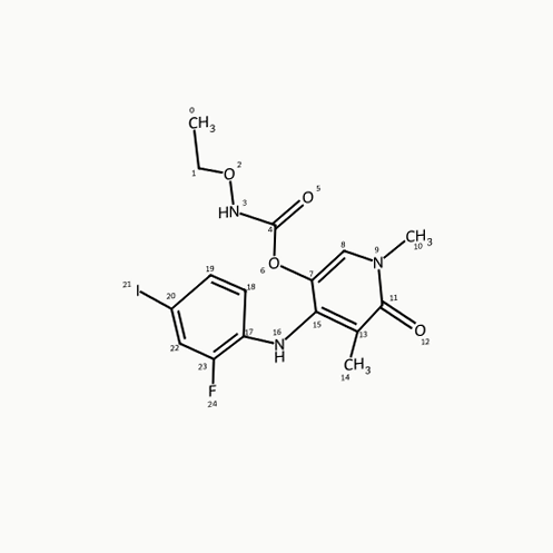 CCONC(=O)Oc1cn(C)c(=O)c(C)c1Nc1ccc(I)cc1F